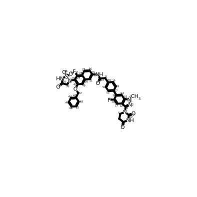 Cn1nc(N2CCC(=O)NC2=O)c2cc(F)c(-c3ccc(CC(=O)Nc4ccc5c(F)c(N6CC(=O)NS6(=O)=O)c(OCc6ccccc6)cc5c4)cc3)cc21